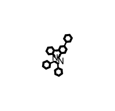 c1ccc(-c2ccc3c(c2)c2ccccc2n2c(-c4ccccc4)c(-c4ccccc4)nc32)cc1